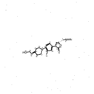 CC(=O)NC[C@H]1CN(c2ccc(N3CCC(=NCO)CC3)c(F)c2)C(=O)O1